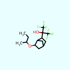 CCC(C)OC1CC2CC1C(C(O)(C(F)(F)F)C(F)(F)F)C2